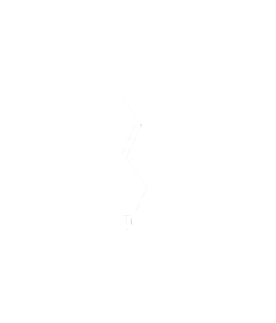 CC=C[CH2][Ti]